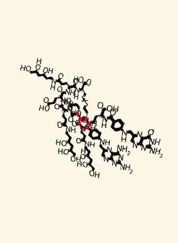 Nc1nc(N)c2nc(CNc3ccc(C(=O)N[C@@H](CCSSC[C@H](NC(=O)[C@H](CCC(=O)NCC[C@@H](O)C[C@H](O)CO)NC(=O)[C@H](CCC(=O)O)NC(=O)[C@H](CCC(=O)NCC[C@@H](O)C[C@H](O)CO)NC(=O)[C@H](CCC(=O)O)NC(=O)[C@H](CCC(=O)NCC[C@@H](O)C[C@H](O)CO)NC(=O)CC[C@H](NC(=O)c4ccc(NCc5cnc6nc(N)[nH]c(=O)c6n5)cc4)C(=O)O)C(=O)O)C(=O)O)cc3)cnc2n1